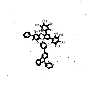 Oc1c(O)c(O)c(-c2cc(-c3c(O)c(O)c(O)c(O)c3O)cc(N(c3ccc(-c4ccc5c(c4)c4ccccc4n5-c4ccccc4)cc3)c3c(O)c(O)c(-c4ccccc4)c(O)c3O)c2)c(O)c1O